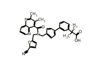 Cc1nc2cccnc2c(C(=O)N(Cc2ccc(-c3cccc(C(C)(C)C(=O)O)c3)cc2)Cc2ccc(C#N)o2)c1C